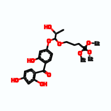 CCO[Si](CCCOC(Oc1ccc(C(=O)c2ccc(O)cc2O)c(O)c1)C(C)O)(OCC)OCC